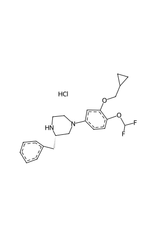 Cl.FC(F)Oc1ccc(N2CCN[C@@H](Cc3ccccc3)C2)cc1OCC1CC1